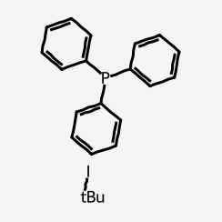 CC(C)(C)I.c1ccc(P(c2ccccc2)c2ccccc2)cc1